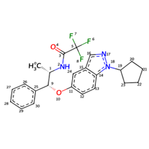 C[C@H](NC(=O)C(F)(F)F)[C@H](Oc1ccc2c(cnn2C2CCCC2)c1)c1ccccc1